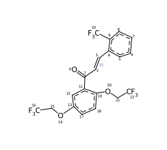 O=C(/C=C/c1ccccc1C(F)(F)F)c1cc(OCC(F)(F)F)ccc1OCC(F)(F)F